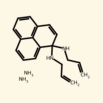 C=CCNC1(NCC=C)C=Cc2cccc3cccc1c23.N.N